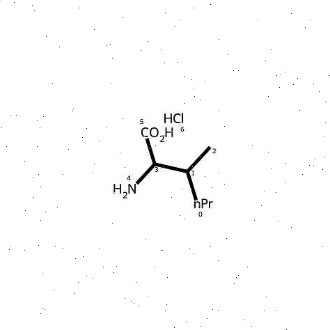 CCCC(C)C(N)C(=O)O.Cl